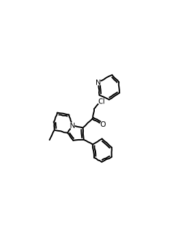 Cc1cccn2c(C(=O)CCl)c(-c3ccccc3)cc12.c1ccncc1